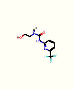 CN(CCO)C(=O)Nc1cccc(C(F)(F)F)n1